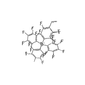 C=Cc1c(F)c(F)c([B-](c2c(F)c(F)c(C)c(F)c2F)(c2c(F)c(F)c(F)c(F)c2F)c2c(F)c(F)c(F)c(F)c2F)c(F)c1F